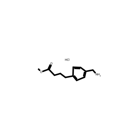 COC(=O)CCCc1ccc(CN)cc1.Cl